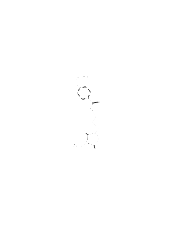 CCCCCCCCCN1C(=O)CC(SCCNC(=O)c2ccc(OCCCCCC)cc2)C1=O